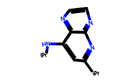 CC(C)Nc1cc(C(C)C)nc2nccnc12